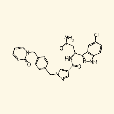 NC(=O)CC(NC(=O)c1cnn(Cc2ccc(Cn3ccccc3=O)cc2)c1)c1n[nH]c2ccc(Cl)cc12